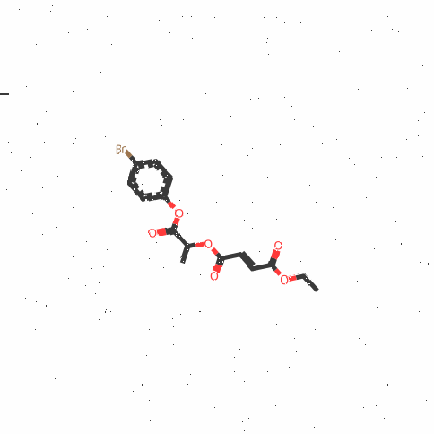 CCOC(=O)C=CC(=O)OC(C)C(=O)Oc1ccc(Br)cc1